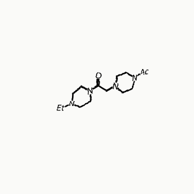 CCN1CCN(C(=O)CN2CCN(C(C)=O)CC2)CC1